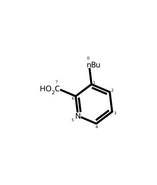 CCCCc1cccnc1C(=O)O